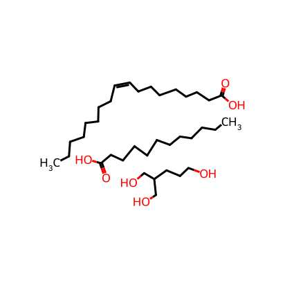 CCCCCCCC/C=C\CCCCCCCC(=O)O.CCCCCCCCCCCC(=O)O.OCCCC(CO)CO